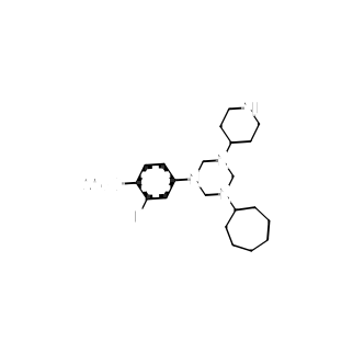 COc1ccc(N2CN(C3CCCCCC3)CN(C3CCNCC3)C2)cc1F